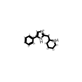 c1ccc(-c2cnc(CC3CCCCN3)[nH]2)cc1